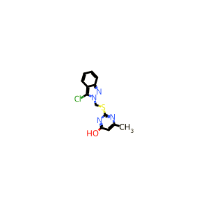 Cc1cc(O)nc(SCn2nc3ccccc3c2Cl)n1